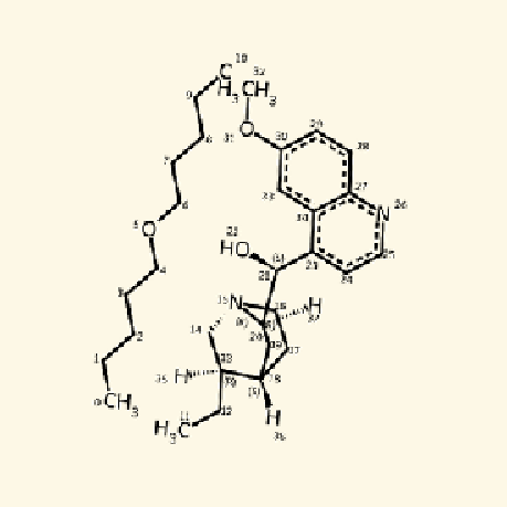 CCCCCOCCCCC.CC[C@H]1C[N@]2CC[C@H]1C[C@@H]2[C@@H](O)c1ccnc2ccc(OC)cc12